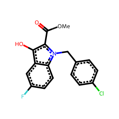 COC(=O)c1c(O)c2cc(F)ccc2n1Cc1ccc(Cl)cc1